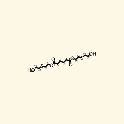 O=C(CCCCC(=O)OCCSCCO)OCCSCCO